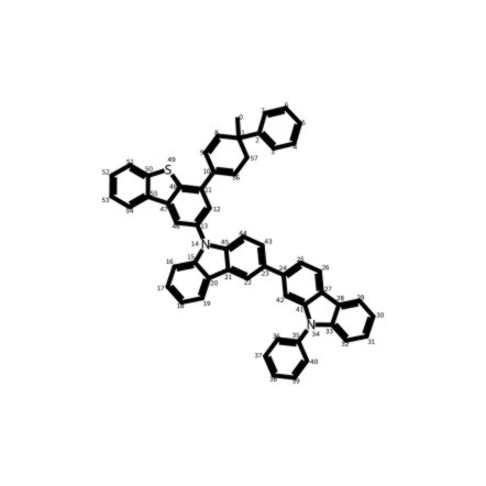 CC1(c2ccccc2)C=CC(c2cc(-n3c4ccccc4c4cc(-c5ccc6c7ccccc7n(-c7ccccc7)c6c5)ccc43)cc3c2sc2ccccc23)=CC1